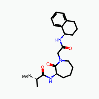 CN[C@@H](C)C(=O)N[C@@H]1CCCCN(CC(=O)N[C@@H]2CCCc3ccccc32)C1=O